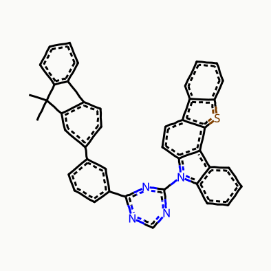 CC1(C)c2ccccc2-c2ccc(-c3cccc(-c4ncnc(-n5c6ccccc6c6c7sc8ccccc8c7ccc65)n4)c3)cc21